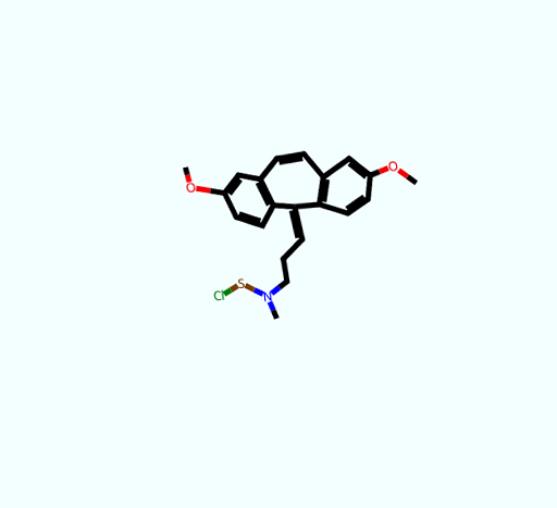 COc1ccc2c(c1)C=Cc1cc(OC)ccc1C2=CCCN(C)SCl